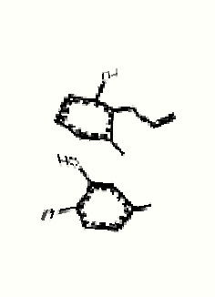 C=CCc1c(C)cccc1O.Cc1ccc(C(C)C)c(O)c1